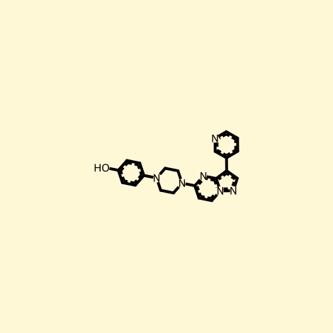 Oc1ccc(N2CCN(c3ccn4ncc(-c5cccnc5)c4n3)CC2)cc1